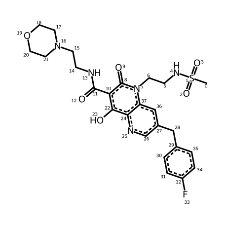 CS(=O)(=O)NCCn1c(=O)c(C(=O)NCCN2CCOCC2)c(O)c2ncc(Cc3ccc(F)cc3)cc21